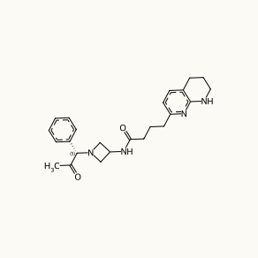 CC(=O)[C@H](c1ccccc1)N1CC(NC(=O)CCCc2ccc3c(n2)NCCC3)C1